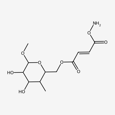 COC1OC(COC(=O)/C=C/C(=O)ON)C(C)C(O)C1O